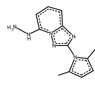 Cc1ccc(C)n1-c1nc2cccc(NN)n2n1